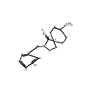 CC1CCC2(CC1)CCN(Cc1ccccc1)C2=O